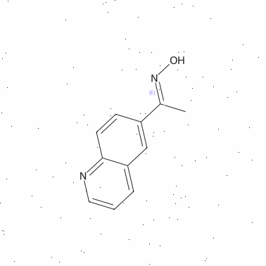 C/C(=N\O)c1ccc2ncccc2c1